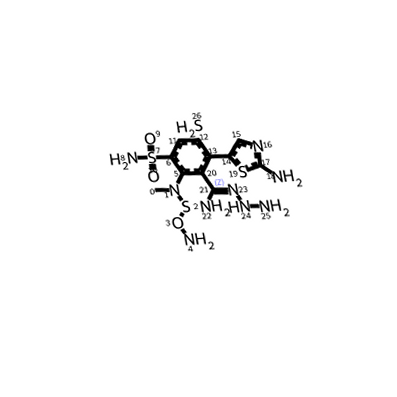 CN(SON)c1c(S(N)(=O)=O)ccc(-c2cnc(N)s2)c1/C(N)=N/NN.S